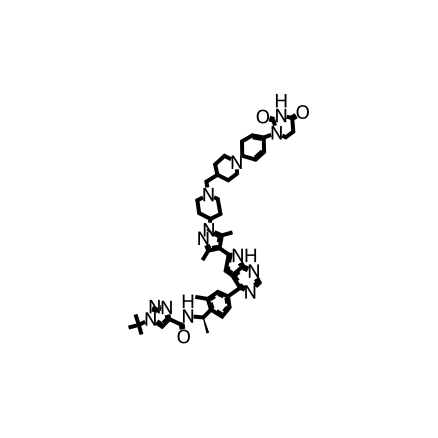 Cc1cc(-c2ncnc3[nH]c(-c4c(C)nn(C5CCN(CC6CCN(C7C=CC(N8CCC(=O)NC8=O)=CC7)CC6)CC5)c4C)cc23)ccc1[C@@H](C)NC(=O)c1cn(C(C)(C)C)nn1